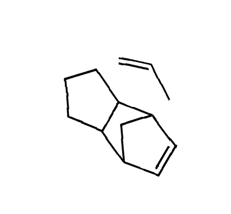 C1=CC2CC1C1CCCC21.C=CC